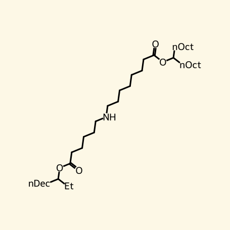 CCCCCCCCCCC(CC)OC(=O)CCCCCNCCCCCCCC(=O)OC(CCCCCCCC)CCCCCCCC